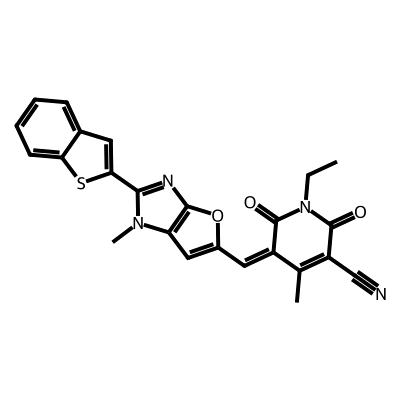 CCN1C(=O)C(C#N)=C(C)/C(=C/c2cc3c(nc(-c4cc5ccccc5s4)n3C)o2)C1=O